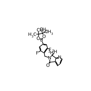 [2H]C1([2H])c2ncccc2C(=O)N1Cc1c(F)cc(B2OC(C)(C)C(C)(C)O2)cc1F